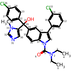 CCN(CC)C(=O)n1cc(-c2cccc(Cl)c2)c2cc(C(O)(c3ccc(Cl)cc3)c3cncn3C)ccc21